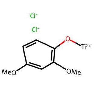 COc1ccc([O][Ti+2])c(OC)c1.[Cl-].[Cl-]